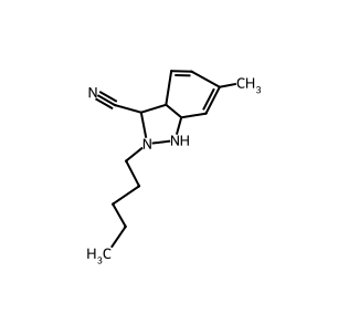 CCCCCN1NC2C=C(C)C=CC2C1C#N